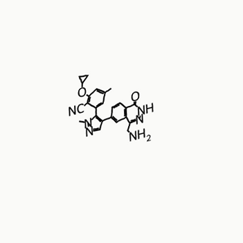 Cc1cc(OC2CC2)c(C#N)c(-c2c(-c3ccc4c(=O)[nH]nc(CN)c4c3)cnn2C)c1